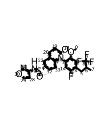 COc1cc(CC(C)C(F)(F)F)c(F)cc1-n1c(=O)ccc2cc([S+]([O-])Nc3ccon3)ccc21